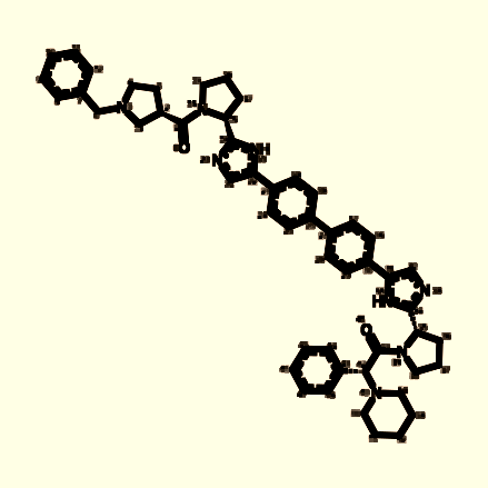 O=C([C@@H]1CCN(Cc2ccccc2)C1)N1CCC[C@H]1c1ncc(-c2ccc(-c3ccc(-c4cnc([C@@H]5CCCN5C(=O)[C@@H](c5ccccc5)N5CCCCC5)[nH]4)cc3)cc2)[nH]1